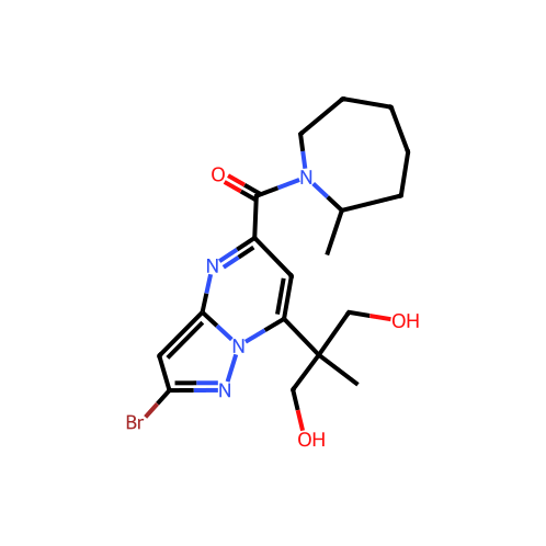 CC1CCCCCN1C(=O)c1cc(C(C)(CO)CO)n2nc(Br)cc2n1